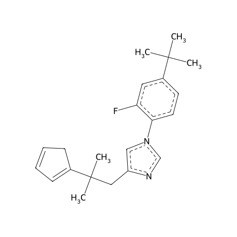 CC(C)(Cc1cn(-c2ccc(C(C)(C)C)cc2F)cn1)C1=CC=CC1